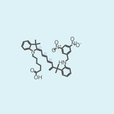 C=C(/C=C/C=C/C=C1\N(CCCCCC(=O)O)c2ccccc2C1(C)C)C(C)(C)c1ccccc1NCc1cc([N+](=O)[O-])cc([N+](=O)[O-])c1